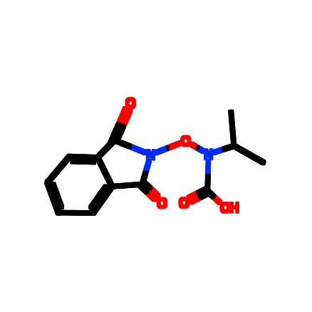 CC(C)N(ON1C(=O)c2ccccc2C1=O)C(=O)O